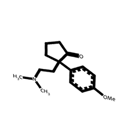 COc1ccc(C2(CCN(C)C)CCCC2=O)cc1